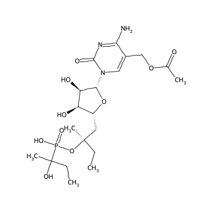 CCC(C)(O)P(=O)(O)O[C@](C)(CC)C[C@H]1O[C@@H](n2cc(COC(C)=O)c(N)nc2=O)[C@H](O)[C@@H]1O